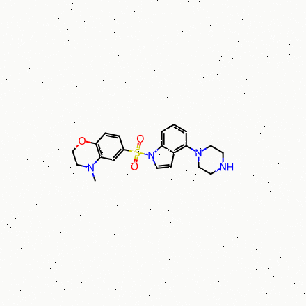 CN1CCOc2ccc(S(=O)(=O)n3ccc4c(N5CCNCC5)cccc43)cc21